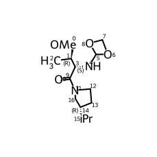 CO[C@H](C)[C@H](NC1OCO1)C(=O)N1CC[C@H](C(C)C)C1